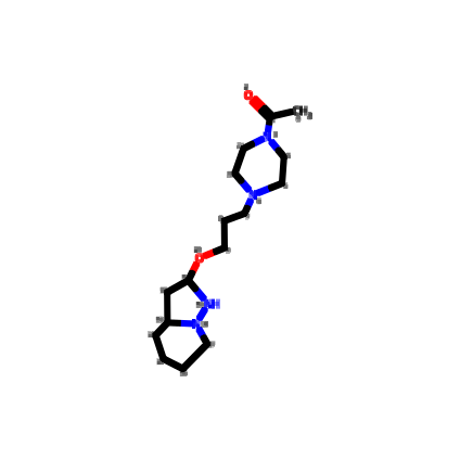 CC(=O)N1CCN(CCCOC2CC3CCCCN3N2)CC1